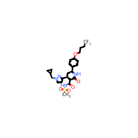 CS(=O)(=O)NC(=O)c1c(-c2ccn(CC3CC3)n2)cc(-c2ccc(OCCCC(F)(F)F)cc2)[nH]c1=O